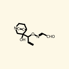 C=CC(ON=CC=O)C1(O)CN2CCC1CC2